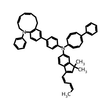 C/C=C\C=C/C1=CC(C)(C)c2cc(N(C3=C=C/C=C(/c4ccccc4)C=C=C3)c3ccc(-c4ccc5c(c4)CC/C=C\C=C/CN5c4ccccc4)cc3)ccc21